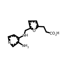 Nc1cnccc1NCc1ccc(CCC(=O)O)o1